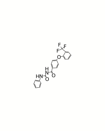 O=C(NC(=O)c1ccc(Oc2ccccc2C(F)(F)F)cc1)Nc1ccccc1